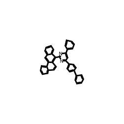 c1ccc(-c2ccc(-c3cc(-c4ccccc4)nc(-c4c5ccccc5cc5c4ccc4ccccc45)n3)cc2)cc1